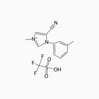 Cc1cccc(-n2c[n+](C)cc2C#N)c1.O=S(=O)(O)C(F)(F)F